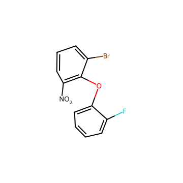 O=[N+]([O-])c1cccc(Br)c1Oc1ccccc1F